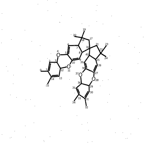 CC1=CC2OC3=CC4C(C=C3OC2C=C1C)C1(CC4(C)C)CC(C)(C)C2C=C3OC4C=C(C)C(C)=CC4OC3=CC21